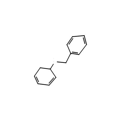 C1=CCC(OCc2ccccc2)C=C1